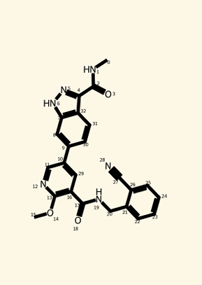 CNC(=O)c1n[nH]c2cc(-c3cnc(OC)c(C(=O)NCc4ccccc4C#N)c3)ccc12